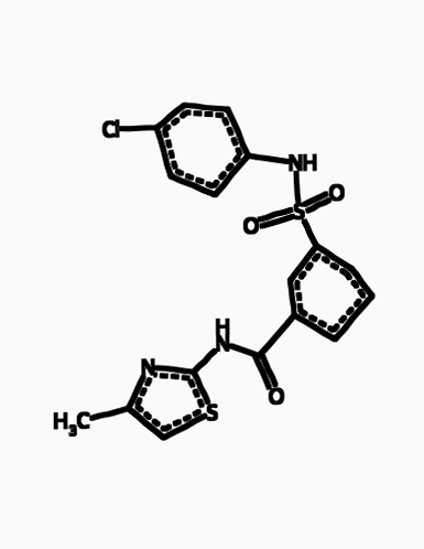 Cc1csc(NC(=O)c2cccc(S(=O)(=O)Nc3ccc(Cl)cc3)c2)n1